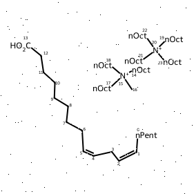 CCCCC/C=C\C/C=C\CCCCCCCC(=O)O.CCCCCCCC[N+](C)(CCCCCCCC)CCCCCCCC.CCCCCCCC[N+](CCCCCCCC)(CCCCCCCC)CCCCCCCC